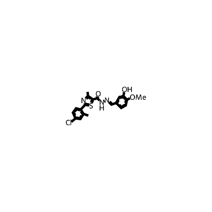 COc1ccc(/C=N/NC(=O)c2sc(-c3ccc(Cl)cc3C)nc2C)cc1O